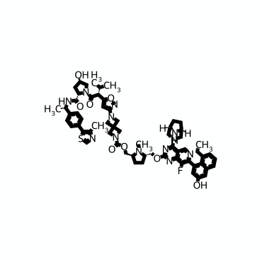 CCc1cccc2cc(O)cc(-c3ncc4c(N5C[C@H]6CC[C@@H](C5)N6)nc(OC[C@@H]5CC[C@@H](COC(=O)N6CC7(C6)CN(c6cc([C@H](C(=O)N8C[C@H](O)C[C@H]8C(=O)N[C@@H](C)c8ccc(-c9scnc9C)cc8)C(C)C)on6)C7)N5C)nc4c3F)c12